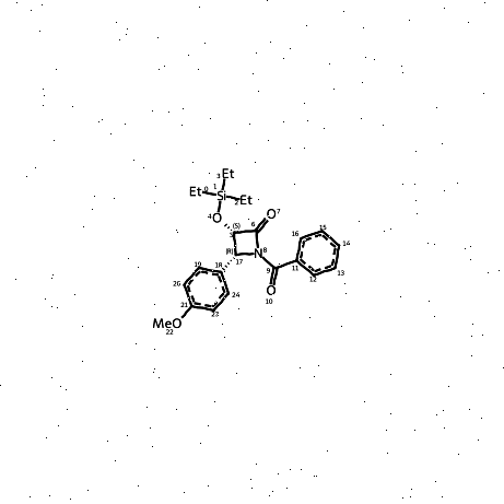 CC[Si](CC)(CC)O[C@@H]1C(=O)N(C(=O)c2ccccc2)[C@@H]1c1ccc(OC)cc1